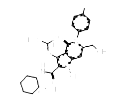 CCc1cc2c(c(OC(C)C)c(C(=O)N[C@H]3CCCC[C@H]3O)n2C)c(=O)n1-c1ccc(F)cc1